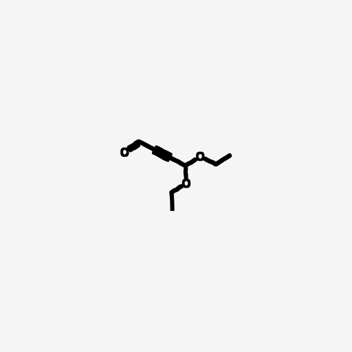 CCOC(C#CC=O)OCC